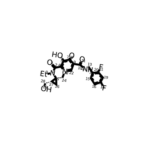 CCN1C(=O)c2c(O)c(=O)c(C(=O)NCc3ccc(F)cc3F)cn2C[C@@]12C[C@@H]2CO